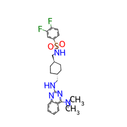 CN(C)c1nc(NC[C@H]2CC[C@H](CNS(=O)(=O)c3ccc(F)c(F)c3)CC2)nc2ccccc12